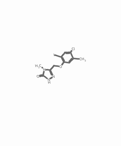 Cc1cc(OCc2n[nH]c(=O)n2C)c(I)cc1Cl